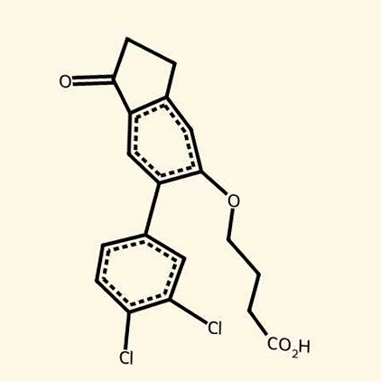 O=C(O)CCCOc1cc2c(cc1-c1ccc(Cl)c(Cl)c1)C(=O)CC2